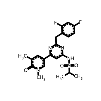 Cc1cc(-c2cc(NS(=O)(=O)C(C)C)nc(Cc3ccc(F)cc3F)n2)cn(C)c1=O